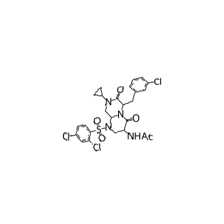 CC(=O)NC1CN(S(=O)(=O)c2ccc(Cl)cc2Cl)C2CN(C3CC3)C(=O)C(Cc3cccc(Cl)c3)N2C1=O